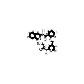 CC(C)(C)OC(=O)Nc1cc(CSc2ccccc2C(=O)Nc2cc3ccccc3cn2)ccn1